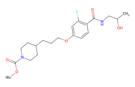 CC(O)CNC(=O)c1ccc(OCCCC2CCN(C(=O)OC(C)(C)C)CC2)cc1F